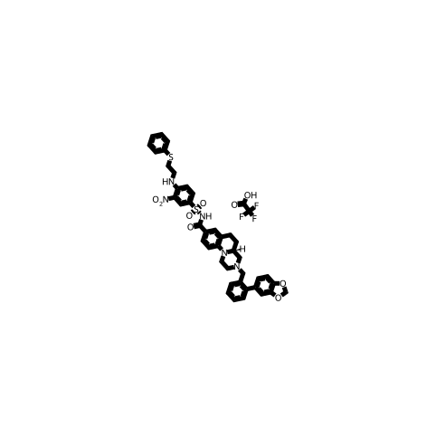 O=C(NS(=O)(=O)c1ccc(NCCSc2ccccc2)c([N+](=O)[O-])c1)c1ccc2c(c1)CC[C@H]1CN(Cc3ccccc3-c3ccc4c(c3)OCO4)CCN21.O=C(O)C(F)(F)F